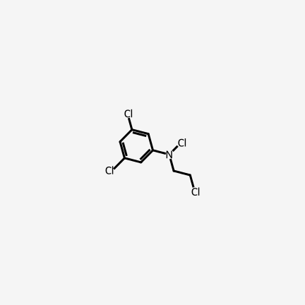 ClCCN(Cl)c1cc(Cl)cc(Cl)c1